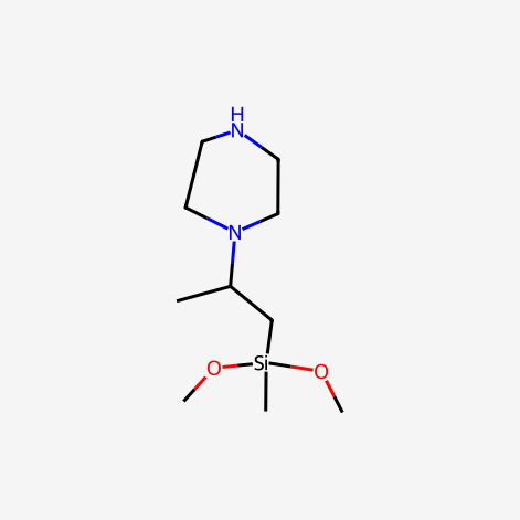 CO[Si](C)(CC(C)N1CCNCC1)OC